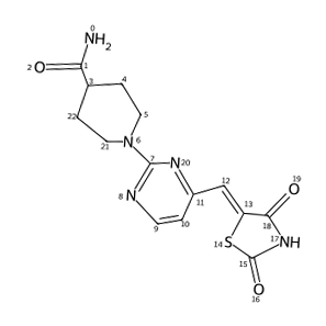 NC(=O)C1CCN(c2nccc(/C=C3\SC(=O)NC3=O)n2)CC1